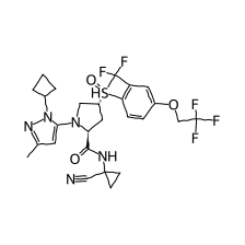 Cc1cc(N2C[C@H]([SH]3(=O)c4ccc(OCC(F)(F)F)cc4C3(F)F)C[C@H]2C(=O)NC2(C#N)CC2)n(C2CCC2)n1